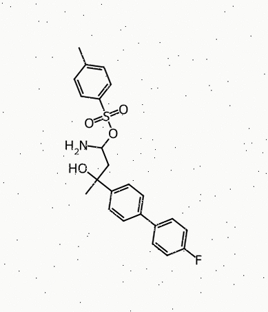 Cc1ccc(S(=O)(=O)OC(N)CC(C)(O)c2ccc(-c3ccc(F)cc3)cc2)cc1